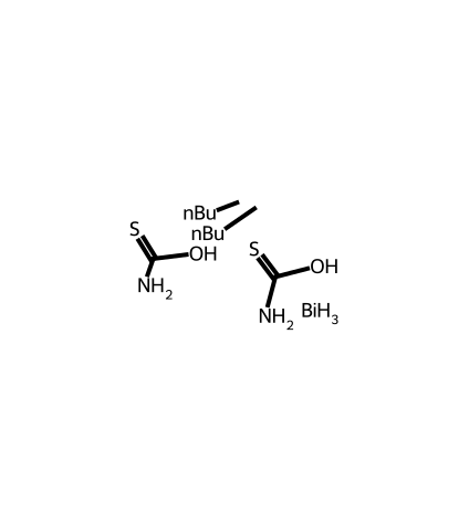 CCCCC.CCCCC.NC(O)=S.NC(O)=S.[BiH3]